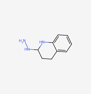 NNC1CCc2ccccc2N1